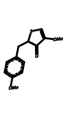 COC1=CSC(Cc2ccc(OC)cc2)C1=O